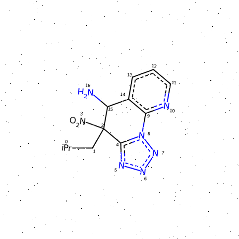 CC(C)CC1([N+](=O)[O-])c2nnnn2-c2ncccc2C1N